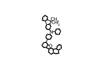 CC1(C)c2ccccc2-c2ccc(N(c3ccccc3)c3ccc(-c4cccc5c4oc4c5ccc5ccc6ccccc6c54)cc3)cc21